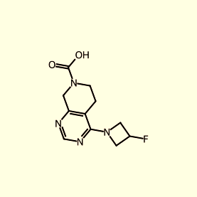 O=C(O)N1CCc2c(ncnc2N2CC(F)C2)C1